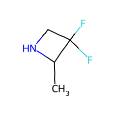 CC1NCC1(F)F